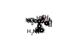 CCC(Cc1c(C(=O)NC)cccc1N1CCC(c2ccccc2)(c2nnc(N)o2)CC1)c1ccc(Cl)c(Cl)c1.Cl.Cl.O.O